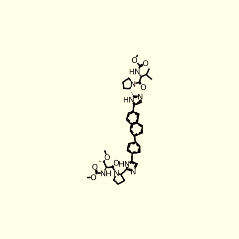 COC(=O)N[C@H](C(=O)N1CCC[C@H]1c1ncc(-c2ccc3cc(-c4ccc(-c5cnc(C6CCCN6C(=O)[C@@H](NC(=O)OC)[C@H](C)OC)[nH]5)cc4)ccc3c2)[nH]1)C(C)C